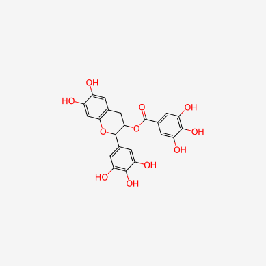 O=C(OC1Cc2cc(O)c(O)cc2OC1c1cc(O)c(O)c(O)c1)c1cc(O)c(O)c(O)c1